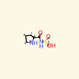 O=C(NS(=O)O)[C@@H]1CCCN1